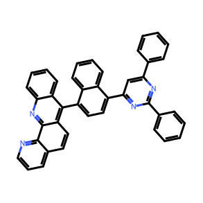 c1ccc(-c2cc(-c3ccc(-c4c5ccccc5nc5c4ccc4cccnc45)c4ccccc34)nc(-c3ccccc3)n2)cc1